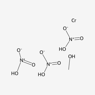 CO.O=[N+]([O-])O.O=[N+]([O-])O.O=[N+]([O-])O.[Cr]